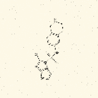 O=S(=O)(Nc1ccc2c(c1)CCNC2)c1c(Cl)nc2sccn12